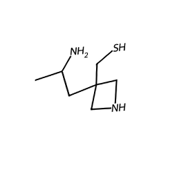 CC(N)CC1(CS)CNC1